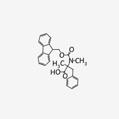 CN(C(=O)OCC1c2ccccc2-c2ccccc21)C(C)(Cc1ccccc1)C(=O)O